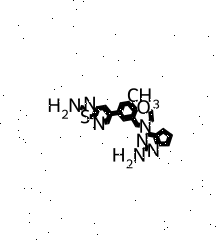 Cc1cc(-c2cnc3sc(N)nc3c2)cc2c1OCCN(c1nc(N)nc3c1CCC3)C2